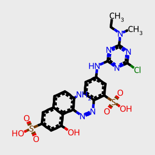 CCN(C)c1nc(Cl)nc(Nc2ccc(/N=N\c3c(N)ccc4cc(S(=O)(=O)O)cc(O)c34)c(S(=O)(=O)O)c2)n1